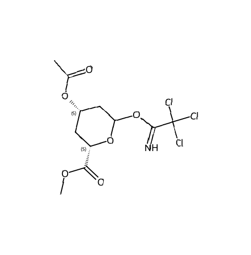 COC(=O)[C@@H]1C[C@H](OC(C)=O)CC(OC(=N)C(Cl)(Cl)Cl)O1